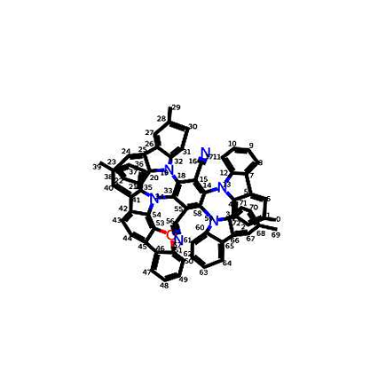 Cc1ccc2c(c1)c1ccccc1n2-c1c(C#N)c(-n2c3ccccc3c3cc(C)ccc32)c(-n2c3ccc(C)cc3c3ccc4c5ccccc5oc4c32)c(C#N)c1-n1c2ccccc2c2cc(C)ccc21